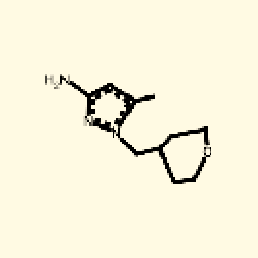 Cc1cc(N)nn1CC1CCOCC1